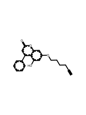 C#CCCCCOc1cc(O)c2c(-c3ccccc3)cc(=O)oc2c1